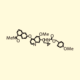 CNC(=O)c1cccc2cc(Oc3ccnc4cc(OCC5(NC(=O)OCc6ccc(OC)cc6)CC5)c(OC)cc34)ccc12